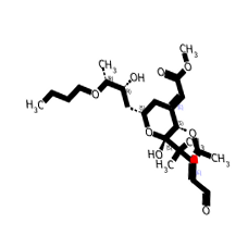 CCCCO[C@H](C)[C@H](O)C[C@@H]1C/C(=C\C(=O)OC)[C@H](OC(C)=O)[C@](O)(C(C)(C)/C=C/C=O)O1